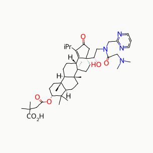 CC(C)C1=C2[C@H]3CC[C@@H]4[C@@]5(C)CC[C@@H](OC(=O)CC(C)(C)C(=O)O)C(C)(C)[C@@H]5CC[C@@]4(C)[C@]3(C)CC[C@@]2([C@@H](O)CN(Cc2ncccn2)C(=O)CN(C)C)CC1=O